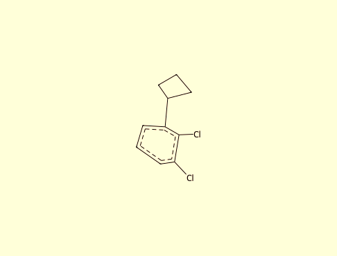 Clc1cccc(C2CCC2)c1Cl